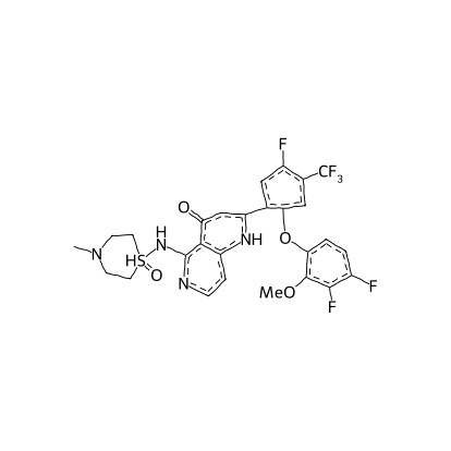 COc1c(Oc2cc(C(F)(F)F)c(F)cc2-c2cc(=O)c3c(N[SH]4(=O)CCN(C)CC4)nccc3[nH]2)ccc(F)c1F